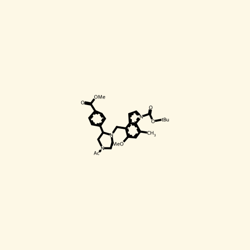 COC(=O)c1ccc(C2CN(C(C)=O)CCN2Cc2c(OC)cc(C)c3c2ccn3C(=O)OC(C)(C)C)cc1